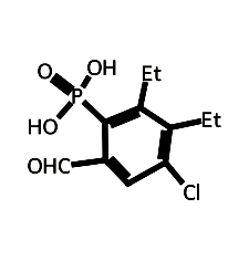 CCc1c(Cl)cc(C=O)c(P(=O)(O)O)c1CC